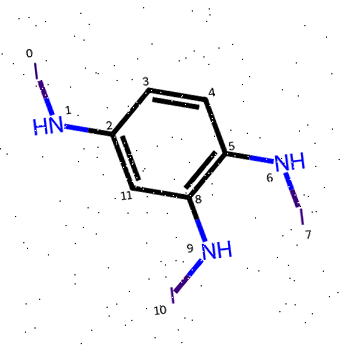 INc1ccc(NI)c(NI)c1